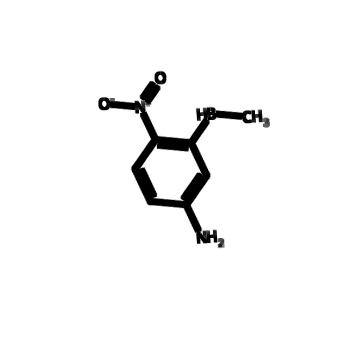 CBc1cc(N)ccc1[N+](=O)[O-]